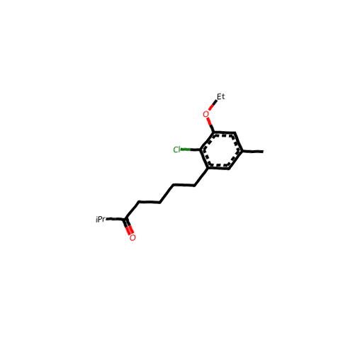 CCOc1cc(C)cc(CCCCC(=O)C(C)C)c1Cl